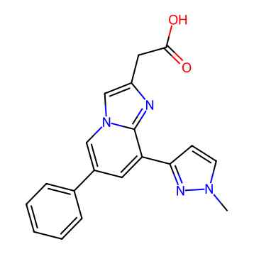 Cn1ccc(-c2cc(-c3ccccc3)cn3cc(CC(=O)O)nc23)n1